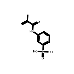 C=C(C)C(=O)Nc1cccc(P(=O)(O)O)c1